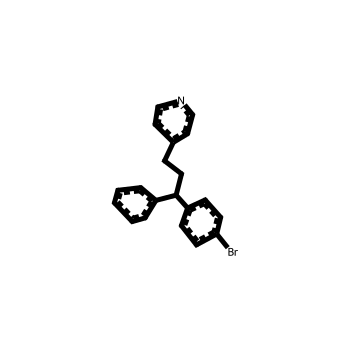 Brc1ccc(C(CCc2ccncc2)c2ccccc2)cc1